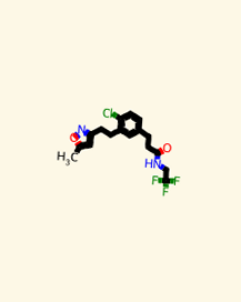 Cc1cc(CCc2cc(CCC(=O)NCC(F)(F)F)ccc2Cl)no1